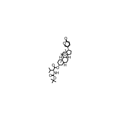 CC(C)[C@H](NC(=O)OC(C)(C)C)C(=O)O[C@H]1CC[C@@]2(C)[C@H](CC[C@@H]3[C@@H]2CC[C@]2(C)[C@@H](c4ccc(=O)oc4)CC[C@]32O)C1